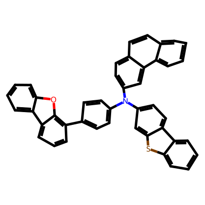 c1ccc2c(c1)ccc1ccc(N(c3ccc(-c4cccc5c4oc4ccccc45)cc3)c3ccc4c(c3)sc3ccccc34)cc12